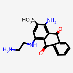 NCCNc1cc(S(=O)(=O)O)c(N)c2c1C(=O)c1ccccc1C2=O